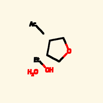 C1CCOC1.CC(C)=O.CCO.O